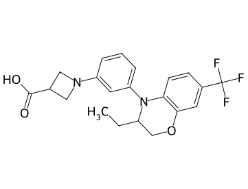 CCC1COc2cc(C(F)(F)F)ccc2N1c1cccc(N2CC(C(=O)O)C2)c1